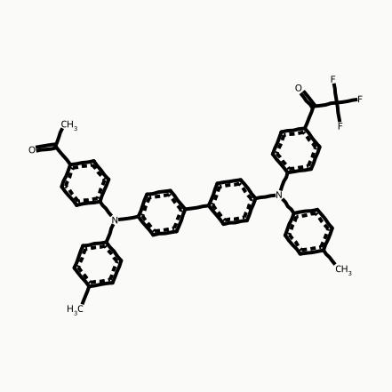 CC(=O)c1ccc(N(c2ccc(C)cc2)c2ccc(-c3ccc(N(c4ccc(C)cc4)c4ccc(C(=O)C(F)(F)F)cc4)cc3)cc2)cc1